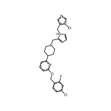 CCn1cncc1C[SH]1C=CC=C1CN1CCC(c2cccc(OCc3ccc(Cl)cc3F)n2)CC1